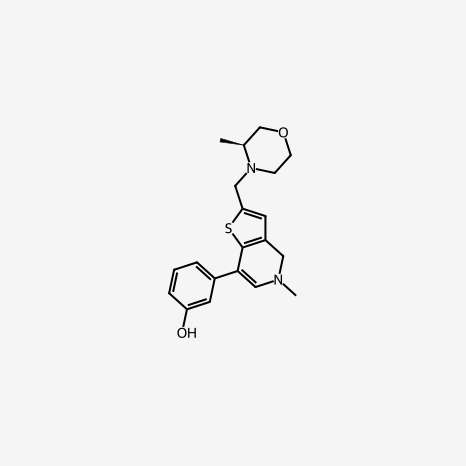 C[C@H]1COCCN1Cc1cc2c(s1)C(c1cccc(O)c1)=CN(C)C2